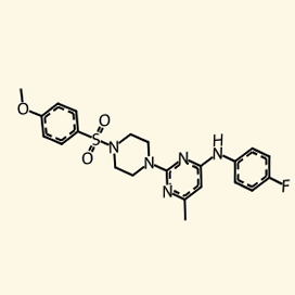 COc1ccc(S(=O)(=O)N2CCN(c3nc(C)cc(Nc4ccc(F)cc4)n3)CC2)cc1